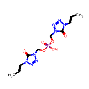 C/C=C/n1nnn(COP(=O)(O)OCn2nnn(/C=C/C)c2=O)c1=O